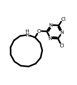 Clc1nc(Cl)nc(OC2CCCCCCCCCCCN2)n1